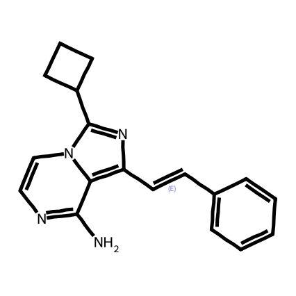 Nc1nccn2c(C3CCC3)nc(/C=C/c3ccccc3)c12